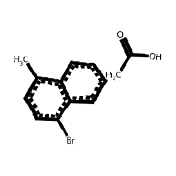 CC(=O)O.Cc1ccc(Br)c2ccccc12